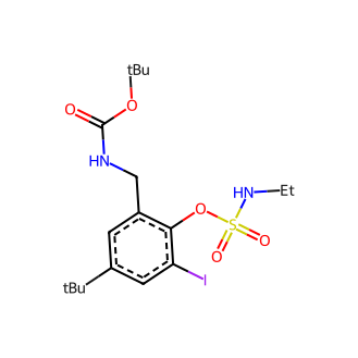 CCNS(=O)(=O)Oc1c(I)cc(C(C)(C)C)cc1CNC(=O)OC(C)(C)C